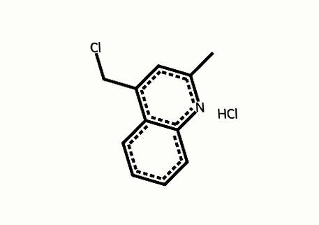 Cc1cc(CCl)c2ccccc2n1.Cl